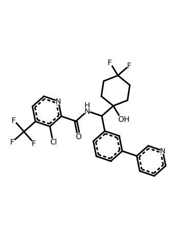 O=C(NC(c1cccc(-c2cccnc2)c1)C1(O)CCC(F)(F)CC1)c1nccc(C(F)(F)F)c1Cl